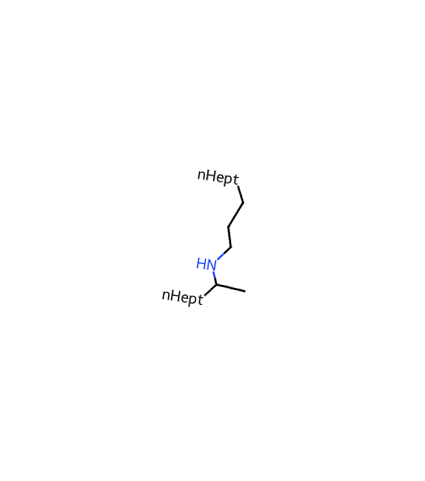 CCCCCCCCCCNC(C)CCCCCCC